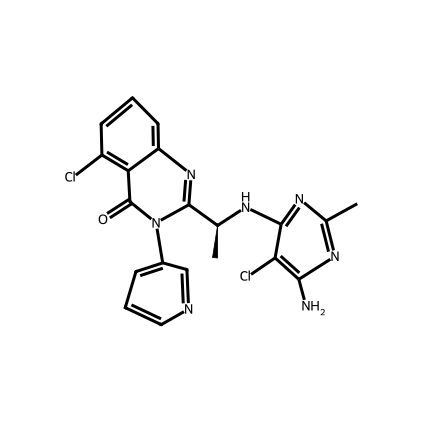 Cc1nc(N)c(Cl)c(N[C@@H](C)c2nc3cccc(Cl)c3c(=O)n2-c2cccnc2)n1